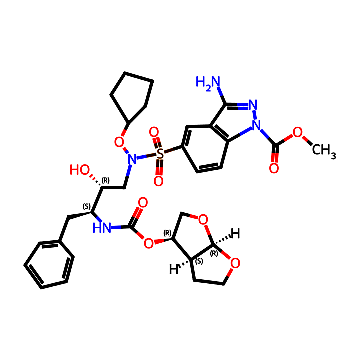 COC(=O)n1nc(N)c2cc(S(=O)(=O)N(C[C@@H](O)[C@H](Cc3ccccc3)NC(=O)O[C@H]3CO[C@H]4OCC[C@H]43)OC3CCCC3)ccc21